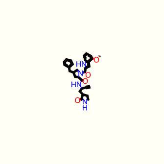 C#CC(CC1CCNC1=O)NC(=O)C1CC(Cc2ccccc2)CN1C(=O)c1cc2c(OC)cccc2[nH]1